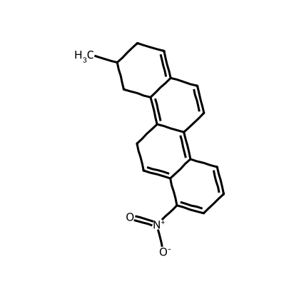 CC1CC=c2ccc3c(c2C1)CC=c1c([N+](=O)[O-])cccc1=3